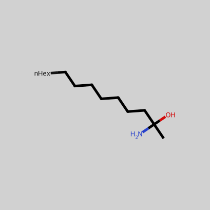 CCCCCCCCCCCCCC(C)(N)O